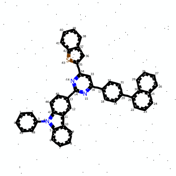 c1ccc(-n2c3ccccc3c3cc(-c4nc(-c5ccc(-c6cccc7ccccc67)cc5)cc(-c5cc6ccccc6s5)n4)ccc32)cc1